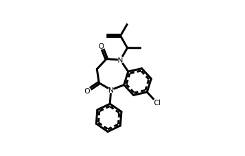 C=C(C)C(C)N1C(=O)CC(=O)N(c2ccccc2)c2cc(Cl)ccc21